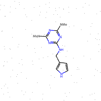 CNc1nc(NC)nc(NCc2cc[nH]c2)n1